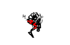 CC1CC(C)(C)c2c(-c3ccc(-c4cccc(-n5c6ccccc6c6ccc7c8ccccc8n(-c8nc(-c9ccccc9)nc(-c9ccc(-c%10ccccc%10)cc9)n8)c7c65)c4)cc3)cccc2C1(C)C